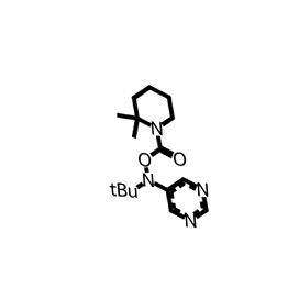 CC(C)(C)N(OC(=O)N1CCCCC1(C)C)c1cncnc1